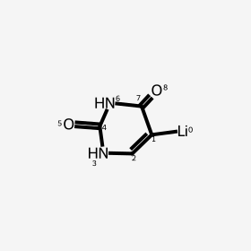 [Li][c]1c[nH]c(=O)[nH]c1=O